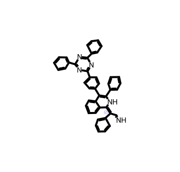 N=C/C(=C1\NC(c2ccccc2)=C(c2ccc(-c3nc(-c4ccccc4)nc(-c4ccccc4)n3)cc2)c2ccccc21)c1ccccc1